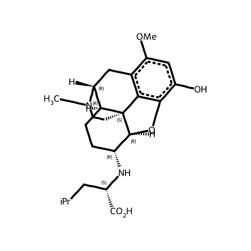 COc1cc(O)c2c3c1C[C@@H]1[C@@H]4CC[C@@H](N[C@@H](CC(C)C)C(=O)O)[C@H](O2)[C@]34CCN1C